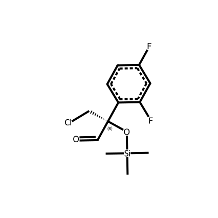 C[Si](C)(C)O[C@](C=O)(CCl)c1ccc(F)cc1F